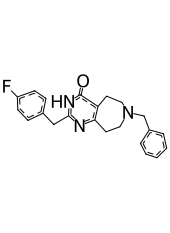 O=c1[nH]c(Cc2ccc(F)cc2)nc2c1CCN(Cc1ccccc1)CC2